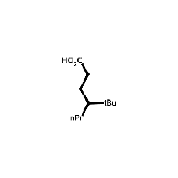 CCCC(CCC(=O)O)C(C)(C)C